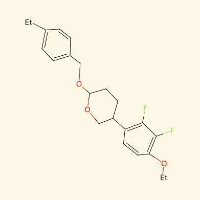 CCOc1ccc(C2CCC(OCc3ccc(CC)cc3)OC2)c(F)c1F